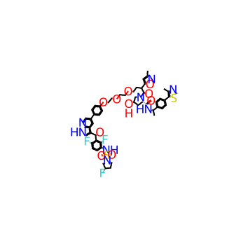 Cc1cc(C(CCOCCOCCOc2ccc(-c3cnc4[nH]cc(C(=O)c5c(F)ccc(NS(=O)(=O)N6CC[C@@H](F)C6)c5F)c4c3)cc2)C(=O)N2C[C@H](O)C[C@H]2C(=O)NC(C)c2ccc(-c3scnc3C)cc2)on1